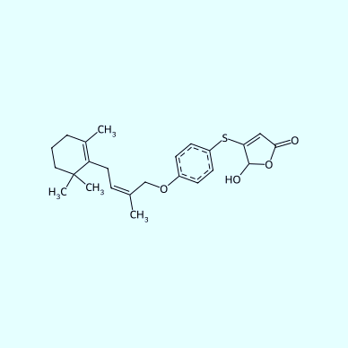 CC(=CCC1=C(C)CCCC1(C)C)COc1ccc(SC2=CC(=O)OC2O)cc1